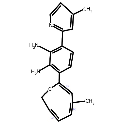 CC1=C/C=C\CC/C(c2ccc(-c3cc(C)ccn3)c(N)c2N)=C\1